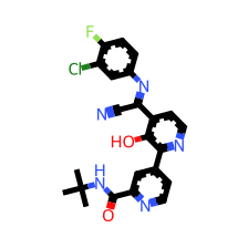 CC(C)(C)NC(=O)c1cc(-c2nccc(/C(C#N)=N/c3ccc(F)c(Cl)c3)c2O)ccn1